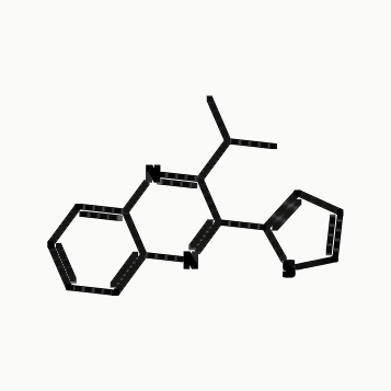 CC(C)c1nc2ccccc2nc1-c1cccs1